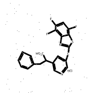 Cl.O=C(O)C(Cc1ccccc1)c1cncc(Cc2nc3c(F)c(F)cc(F)c3s2)c1